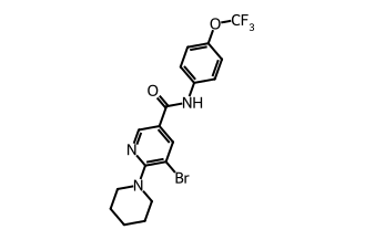 O=C(Nc1ccc(OC(F)(F)F)cc1)c1cnc(N2CCCCC2)c(Br)c1